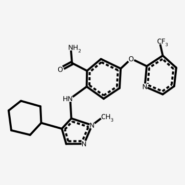 Cn1ncc(C2CCCCC2)c1Nc1ccc(Oc2ncccc2C(F)(F)F)cc1C(N)=O